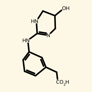 O=C(O)Cc1cccc(NC2=NCC(O)CN2)c1